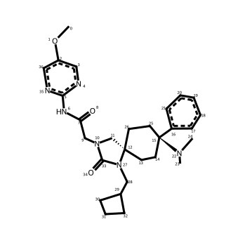 COc1cnc(NC(=O)CN2C[C@]3(CC[C@](c4ccccc4)(N(C)C)CC3)N(CC3CCC3)C2=O)nc1